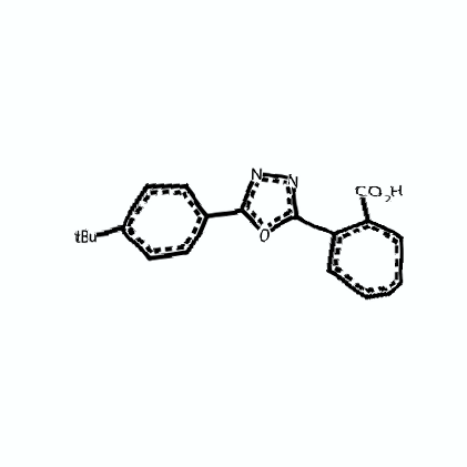 CC(C)(C)c1ccc(-c2nnc(-c3ccccc3C(=O)O)o2)cc1